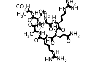 C[C@H](N)C(=O)N[C@@H](CCCNC(=N)N)C(=O)N[C@@H](CCC(N)=O)C(=O)N[C@@H](CCCNC(=N)N)C(=O)N[C@@H](C)C(=O)N[C@@H](CO)C(=O)N[C@@H](C)C(=O)O